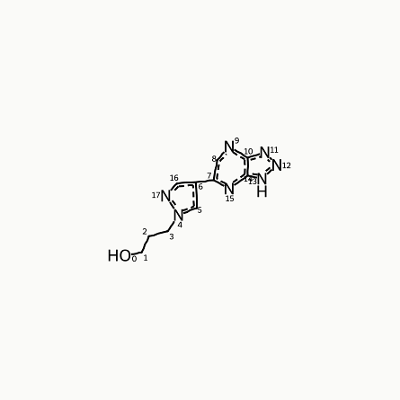 OCCCn1cc(-c2cnc3nn[nH]c3n2)cn1